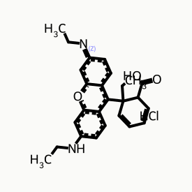 CC/N=c1/ccc2c(C3(CC)C=CC=CC3C(=O)O)c3ccc(NCC)cc3oc-2c1.Cl